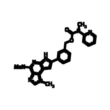 CNc1nc2[nH]c(-c3cccc(COC(=O)N(C)c4ccccn4)c3)cc2c2c1ncn2C